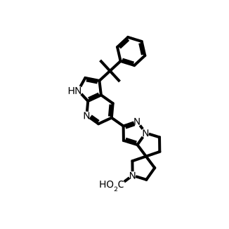 CC(C)(c1ccccc1)c1c[nH]c2ncc(-c3cc4n(n3)CCC43CCN(C(=O)O)C3)cc12